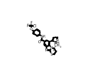 C[C@@H]1CCSc2nc3cc(C(=O)Nc4ccc(OC(F)(F)Cl)cc4)cc(-c4ccn[nH]4)c3n21